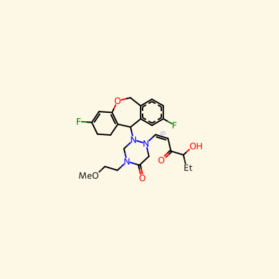 CCC(O)C(=O)/C=C\N1CC(=O)N(CCOC)CN1C1C2=C(C=C(F)CC2)OCc2ccc(F)cc21